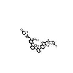 COc1nc(-c2cccc(-c3ccnc(-c4ccn5c(=O)c(CNC[C@@H]6CCC(=O)N6)cnc5c4)c3Cl)c2Cl)ccc1CNC[C@@H]1CCC(=O)N1